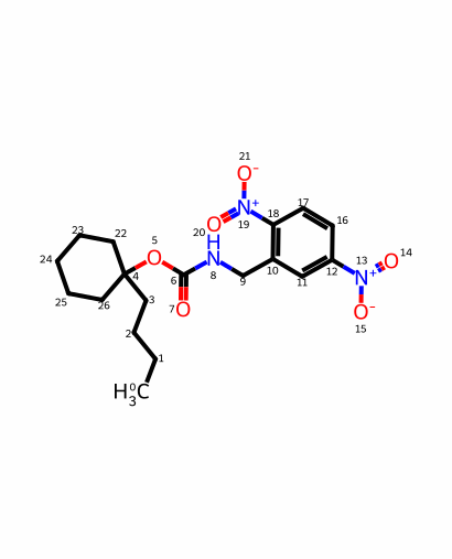 CCCCC1(OC(=O)NCc2cc([N+](=O)[O-])ccc2[N+](=O)[O-])CCCCC1